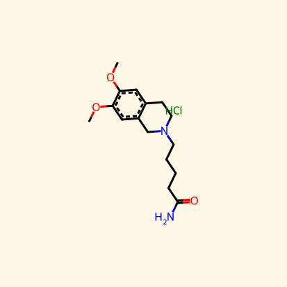 COc1cc2c(cc1OC)CN(CCCCC(N)=O)CC2.Cl